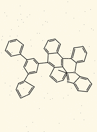 Cc1nc2ccccc2n1-c1ccccc1-c1c2ccccc2c(-c2cc(-c3ccccc3)cc(-c3ccccc3)c2)c2ccccc12